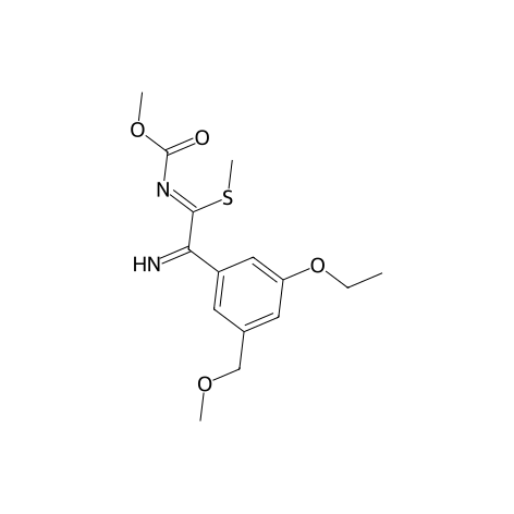 CCOc1cc(COC)cc(C(=N)C(=NC(=O)OC)SC)c1